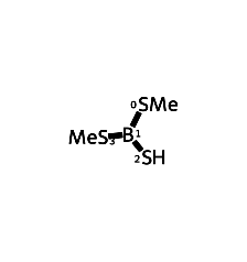 CSB(S)SC